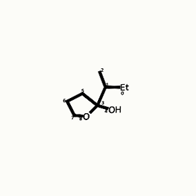 CCC(C)C1(O)CCCO1